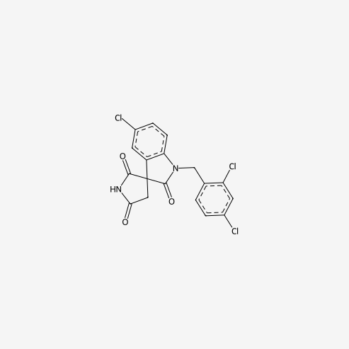 O=C1CC2(C(=O)N1)C(=O)N(Cc1ccc(Cl)cc1Cl)c1ccc(Cl)cc12